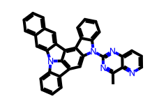 Cc1nc(-n2c3ccccc3c3c4c5cc6ccccc6cc5n5c6ccccc6c(cc32)c45)nc2cccnc12